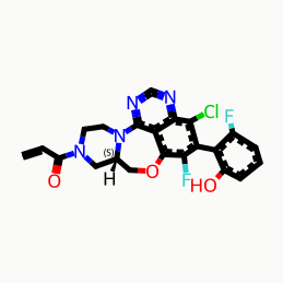 C=CC(=O)N1CCN2c3ncnc4c(Cl)c(-c5c(O)cccc5F)c(F)c(c34)OC[C@@H]2C1